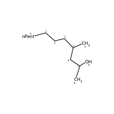 CCCCCCCCC(C)CC(C)O